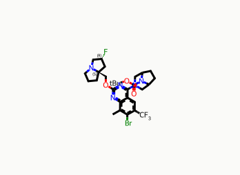 Cc1c(Br)c(C(F)(F)F)cc2c(N3CC4CCC(C3)N4C(=O)OC(C)(C)C)nc(OC[C@@]34CCCN3C[C@H](F)C4)nc12